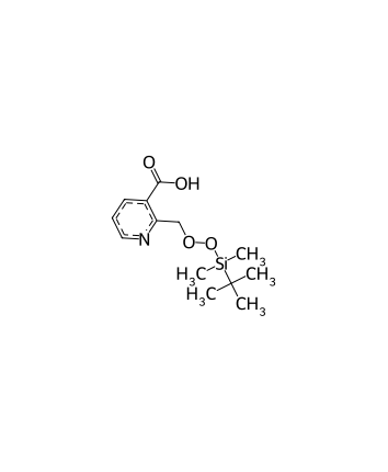 CC(C)(C)[Si](C)(C)OOCc1ncccc1C(=O)O